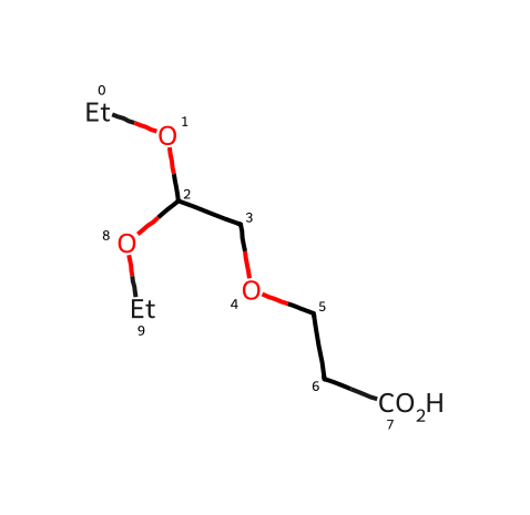 CCOC(COCCC(=O)O)OCC